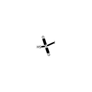 O=S(=O)(S)I